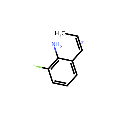 C/C=C\c1cccc(F)c1N